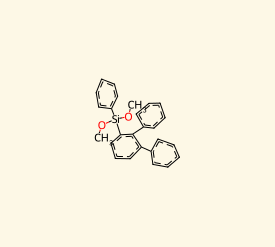 CO[Si](OC)(c1ccccc1)c1cccc(-c2ccccc2)c1-c1ccccc1